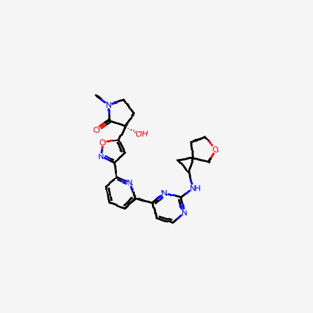 CN1CC[C@@](O)(c2cc(-c3cccc(-c4ccnc(NC5CC56CCOC6)n4)n3)no2)C1=O